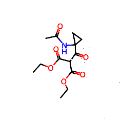 CCOC(=O)C(C(=O)OCC)C(=O)C1(NC(C)=O)CC1